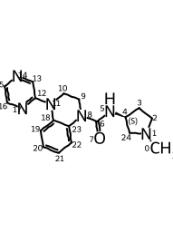 CN1CC[C@H](NC(=O)N2CCN(c3cnccn3)c3ccccc32)C1